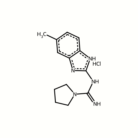 Cc1ccc2[nH]c(NC(=N)N3CCCC3)nc2c1.Cl